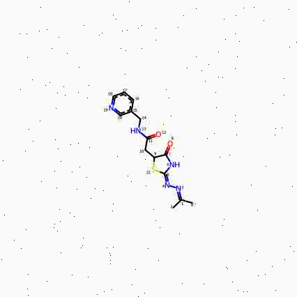 CC(C)=N/N=C1\NC(=O)C(CC(=O)NCc2cccnc2)S1